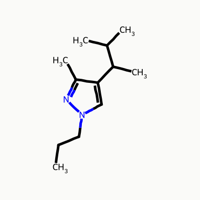 CCCn1cc(C(C)C(C)C)c(C)n1